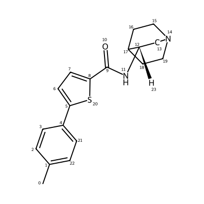 Cc1ccc(-c2ccc(C(=O)N[C@H]3CN4CCC3CC4)s2)cc1